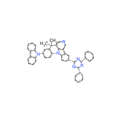 CC1(C)c2cc(-n3c4ccccc4c4ccccc43)ccc2-n2c3ccc(-c4nc(-c5ccccc5)nc(-c5ccccc5)n4)cc3c3cncc1c32